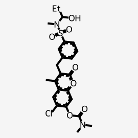 CCC(O)N(C)S(=O)(=O)c1cccc(Cc2c(C)c3cc(Cl)c(OC(=O)N(C)C)cc3oc2=O)c1